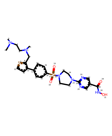 CN(C)CCN(C)Cc1sccc1-c1ccc(S(=O)(=O)N2CCN(c3ncc(C(=O)NO)cn3)CC2)cc1